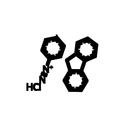 Cl.N#[N+]c1cc[c]cc1.c1ccc2c(c1)Cc1ccccc1-2